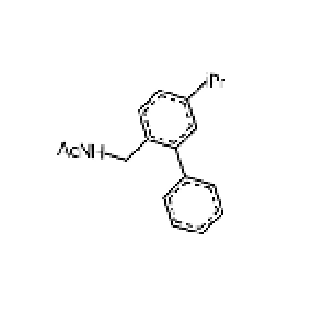 CC(=O)NCc1ccc(C(C)C)cc1-c1ccccc1